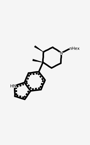 CCCCCCN1CC[C@](C)(c2ccc3cc[nH]c3c2)[C@@H](C)C1